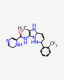 CC1=C(NC(=O)C2=CN=CCN2)N2NC(c3ccccc3C(F)(F)F)C=CC2N1